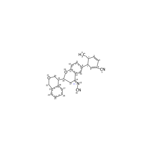 CC1C=CC(C#N)=CC1c1ccc2c(c1)/C(=N/C#N)CC(C1COCc3ccccc31)O2